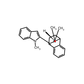 C[C@H]1N(C)C2CCC(c3ccccc32)N1c1cc2ccccc2n1C